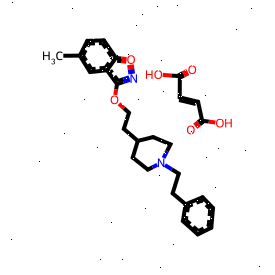 Cc1ccc2onc(OCCC3CCN(CCc4ccccc4)CC3)c2c1.O=C(O)C=CC(=O)O